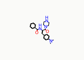 CN(C)c1ccc(/C=C(/NC(=O)c2ccccc2)C(=O)N2CCNCC2)cc1